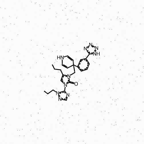 CCCc1cn(-c2ncnn2CCC)c(=O)n1CC1(c2cccc(-c3nnn[nH]3)c2)C=CNC=C1